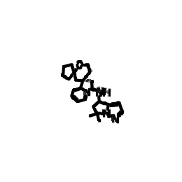 CC1(C)CC(NCC[C@@]2(c3ccccn3)CCOC3(CCCC3)C2)c2ccnn21